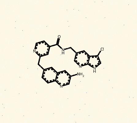 Nc1cnc2ccc(Cc3cc(C(=O)NCc4cnc5[nH]cc(Cl)c5c4)ccn3)cc2c1